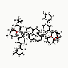 Cc1cccc(-c2ccc(N(C3=C4C=CC5=C6C(=CC=C(C=C3)C46)C(N(c3cccc(C(F)(F)F)c3)c3ccc(-c4cccc(C)c4)cc3-c3cccc(C)c3)C=C5)c3cccc(C(F)(F)F)c3)c(-c3cccc(C)c3)c2)c1